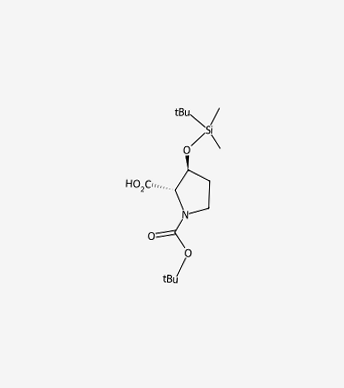 CC(C)(C)OC(=O)N1CC[C@H](O[Si](C)(C)C(C)(C)C)[C@H]1C(=O)O